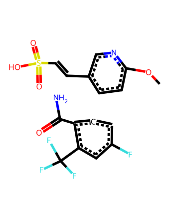 COc1ccc(/C=C/S(=O)(=O)O)cn1.NC(=O)c1ccc(F)cc1C(F)(F)F